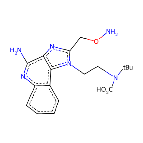 CC(C)(C)N(CCn1c(CON)nc2c(N)nc3ccccc3c21)C(=O)O